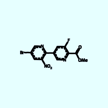 COC(=O)c1ncc(-c2ncc(Br)cc2[N+](=O)[O-])cc1F